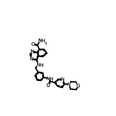 NC(=O)c1cccc2c(NCc3cccc(NC(=O)c4ccc(N5CCOCC5)nc4)c3)ncnc12